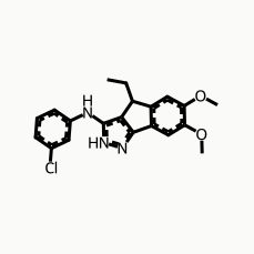 CCC1c2cc(OC)c(OC)cc2-c2n[nH]c(Nc3cccc(Cl)c3)c21